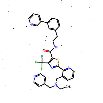 CCN(Cc1ccncc1)Cc1cccnc1-c1nc(C(F)(F)F)c(C(=O)NCCc2cccc(-c3cccnc3)c2)s1